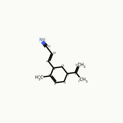 C=C(C)C1CC=C(C)C(C=CC#N)C1